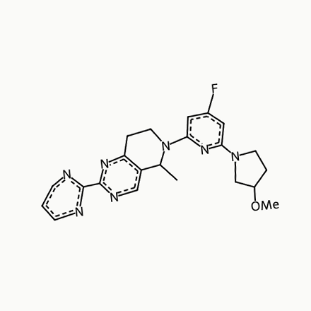 COC1CCN(c2cc(F)cc(N3CCc4nc(-c5ncccn5)ncc4C3C)n2)C1